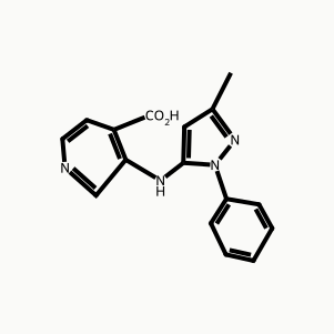 Cc1cc(Nc2cnccc2C(=O)O)n(-c2ccccc2)n1